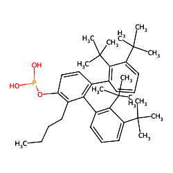 CCCCc1c(OP(O)O)ccc(-c2cccc(C(C)(C)C)c2C(C)(C)C)c1-c1cccc(C(C)(C)C)c1C(C)(C)C